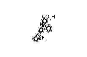 O=C(O)c1ccc2c(c1)nc(-c1ccc(OCc3ccccc3C(F)(F)F)cc1)n2C1CCCCC1